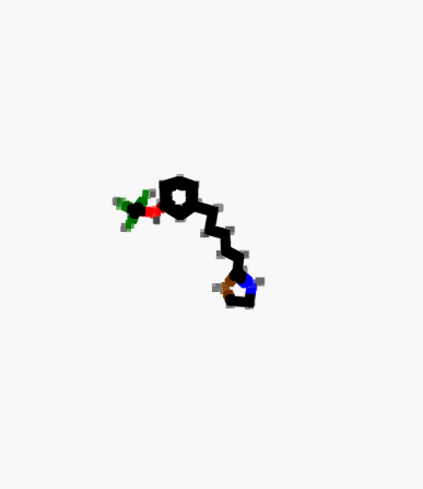 FC(F)(F)Oc1cccc(CCCCCC2=N[CH]CS2)c1